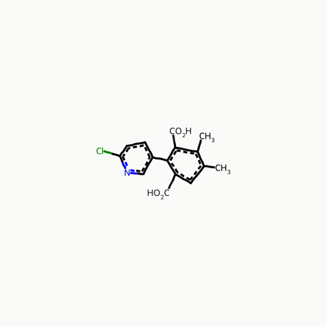 Cc1cc(C(=O)O)c(-c2ccc(Cl)nc2)c(C(=O)O)c1C